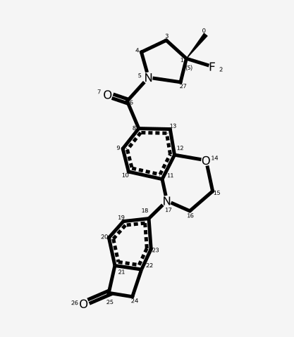 C[C@]1(F)CCN(C(=O)c2ccc3c(c2)OCCN3c2ccc3c(c2)CC3=O)C1